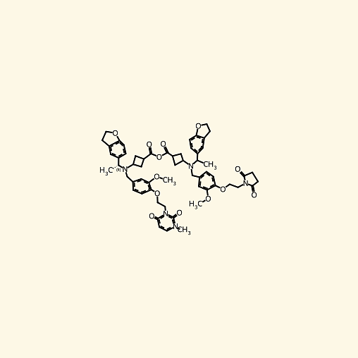 COc1cc(CN(C2CC(C(=O)OC(=O)C3CC(N(Cc4ccc(OCCn5c(=O)ccn(C)c5=O)c(OC)c4)[C@H](C)c4ccc5c(c4)CCO5)C3)C2)C(C)c2ccc3c(c2)CCO3)ccc1OCCN1C(=O)CCC1=O